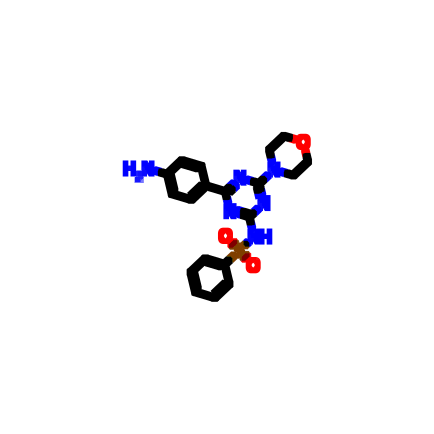 Nc1ccc(-c2nc(NS(=O)(=O)c3ccccc3)nc(N3CCOCC3)n2)cc1